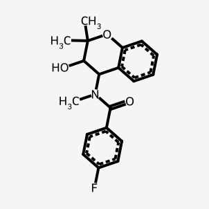 CN(C(=O)c1ccc(F)cc1)C1c2ccccc2OC(C)(C)C1O